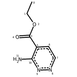 CCOC(=O)c1ccnnc1N